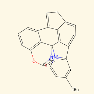 CC(C)(C)c1cc[n+]2c(c1)-c1ccc3c4c1C21c2c(cccc2C4=CC3)Oc2cccc[n+]21